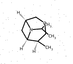 CC(C)N1[C@@H]2COC[C@@H](C)[C@H]1C2